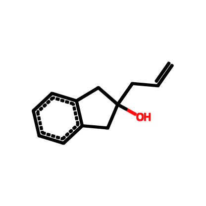 C=CCC1(O)Cc2ccccc2C1